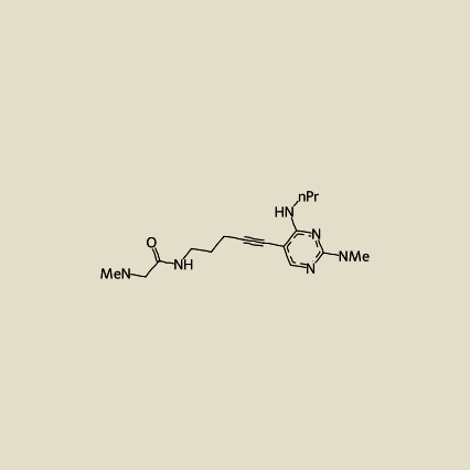 CCCNc1nc(NC)ncc1C#CCCCNC(=O)CNC